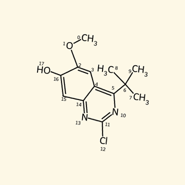 COc1cc2c(C(C)(C)C)nc(Cl)nc2cc1O